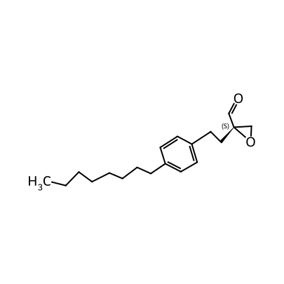 CCCCCCCCc1ccc(CC[C@@]2(C=O)CO2)cc1